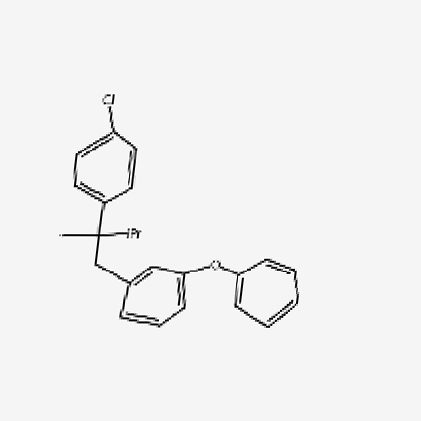 [CH2]C(Cc1cccc(Oc2ccccc2)c1)(c1ccc(Cl)cc1)C(C)C